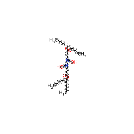 CCCCCCCCC(CCCCCCCC)OC(=O)CCCCCN(CCO)CCN(CCO)CCCCCC(=O)OC(CCCCCCCC)CCCCCCCC